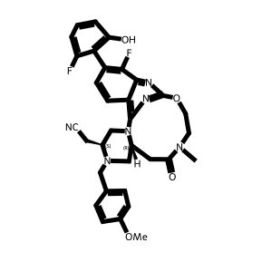 COc1ccc(CN2C[C@H]3CC(=O)N(C)CCOc4nc(c5ccc(-c6c(O)cccc6F)c(F)c5n4)N3C[C@@H]2CC#N)cc1